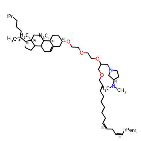 CCCCC/C=C\C/C=C\CCCCCCCCOCC(CN1CC[C@@H](N(C)C)C1)OCCOCCO[C@H]1CC[C@@]2(C)C(=CCC3C2CC[C@@]2(C)C3CC[C@@H]2[C@H](C)CCCC(C)C)C1